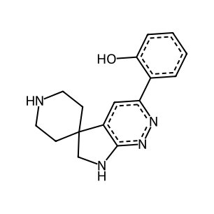 Oc1ccccc1-c1cc2c(nn1)NCC21CCNCC1